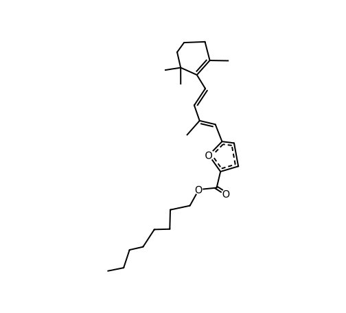 CCCCCCCCOC(=O)c1ccc(C=C(C)C=CC2=C(C)CCCC2(C)C)o1